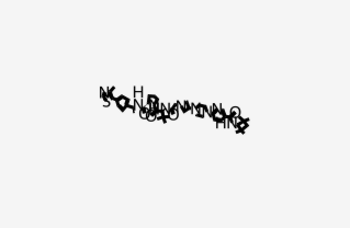 Cc1ncsc1-c1ccc([C@H](C)NC(=O)[C@@H]2CCCN2C(=O)[C@@H](NC(=O)CN2CC(N3CCN(c4ccc(C(=O)NC5C(C)(C)CC5(C)C)cn4)CC3)C2)C(C)(C)C)cc1